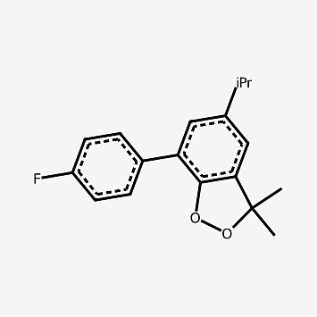 CC(C)c1cc(-c2ccc(F)cc2)c2c(c1)C(C)(C)OO2